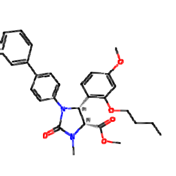 CCCCOc1cc(OC)ccc1[C@@H]1[C@H](C(=O)OC)N(C)C(=O)N1c1ccc(-c2ccccc2)cc1